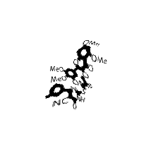 COc1cc(OC)c2c(=O)c(OCCCSc3nc(-c4cccc(C)c4)c(C#N)c(=O)[nH]3)c(-c3cc(OC)c(OC)c(OC)c3)oc2c1